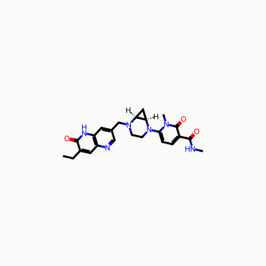 CCc1cc2ncc(CN3CCN(c4ccc(C(=O)NC)c(=O)n4C)[C@@H]4C[C@@H]43)cc2[nH]c1=O